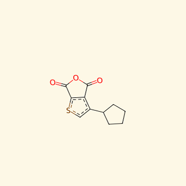 O=C1OC(=O)c2c(C3CCCC3)csc21